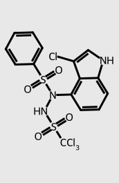 O=S(=O)(c1ccccc1)N(NS(=O)(=O)C(Cl)(Cl)Cl)c1cccc2[nH]cc(Cl)c12